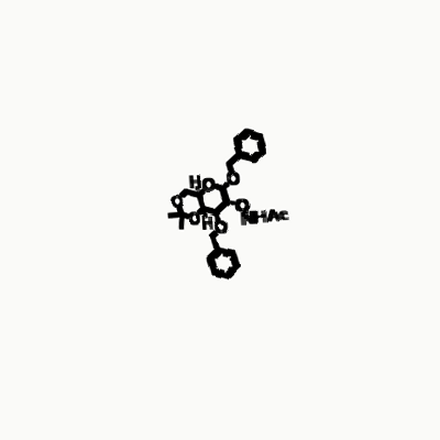 CC(=O)NO[C@H]1[C@H](OCc2ccccc2)O[C@@H]2COC(C)(C)O[C@H]2[C@@H]1OCc1ccccc1